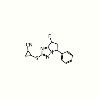 N#CC1CC1Sc1nc2n(n1)C(c1ccccc1)CC2F